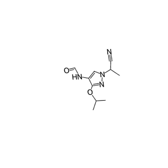 CC(C)Oc1nn(C(C)C#N)cc1NC=O